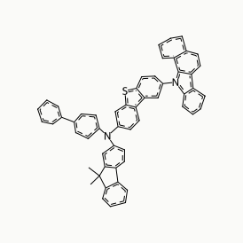 CC1(C)c2ccccc2-c2ccc(N(c3ccc(-c4ccccc4)cc3)c3ccc4c(c3)sc3ccc(-n5c6ccccc6c6ccc7ccccc7c65)cc34)cc21